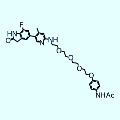 CC(=O)Nc1ccc(OCCOCCOCCOCCNc2cc(C)c(-c3cc(F)c4c(c3)CC(=O)N4)cn2)cc1